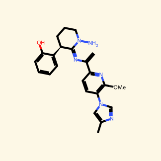 C=C(/N=C1/[C@@H](c2ccccc2O)CCCN1N)c1ccc(-n2cnc(C)c2)c(OC)n1